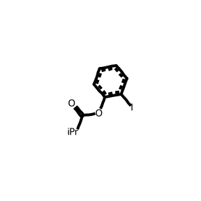 CC(C)C(=O)Oc1ccccc1I